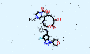 C/C(=C\c1cc(F)c2nnn(C3CCOCC3)c2c1)[C@H]1OC(=O)C[C@H](O)CC[C@H](C)[C@@H](C2CN(C)CCN2C(=O)O)/C=C/[C@@H]1C